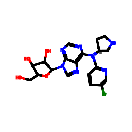 OCC1OC(n2cnc3c(N(c4ccc(Br)cn4)[C@H]4CCNC4)ncnc32)C(O)C1O